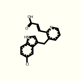 O=C(O)/C=C/c1ncccc1Cc1c[nH]c2ccc(Cl)cc12